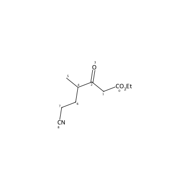 CCOC(=O)CC(=O)C(C)CCC#N